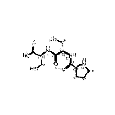 O=C(O)[C@H](CS)NC(=O)[C@H](CO)NC(=O)[C@@H]1CCCN1